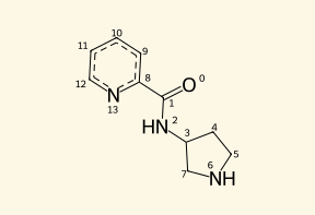 O=C(NC1CCNC1)c1ccccn1